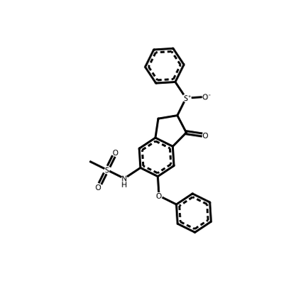 CS(=O)(=O)Nc1cc2c(cc1Oc1ccccc1)C(=O)C([S+]([O-])c1ccccc1)C2